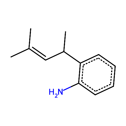 CC(C)=CC(C)c1ccccc1N